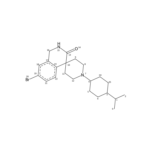 CC(C)C1CCC(N2CCC3(CC2)C(=O)NCc2cc(Br)ccc23)CC1